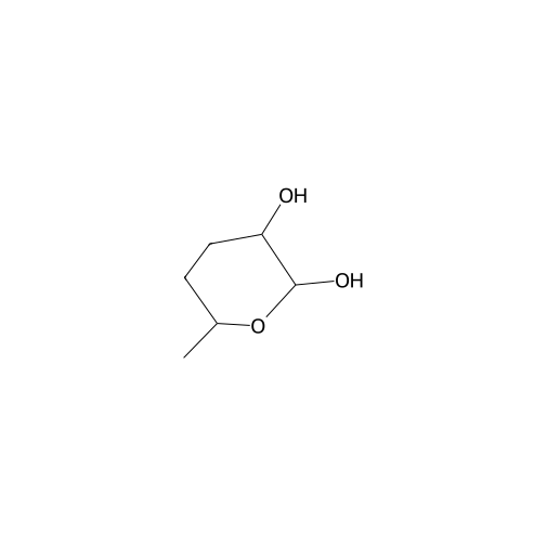 CC1CCC(O)C(O)O1